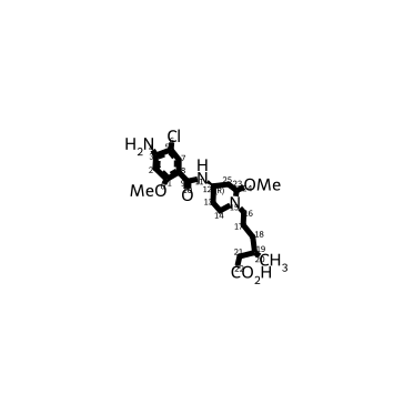 COc1cc(N)c(Cl)cc1C(=O)N[C@@H]1CCN(CCCC(C)CC(=O)O)C(OC)C1